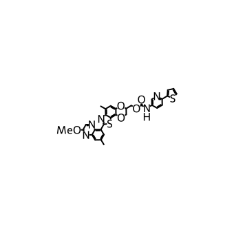 COc1cnc2c(-c3nc4c(C)cc5c(c4s3)OCC(COC(=O)Nc3ccc(-c4cccs4)nc3)O5)cc(C)cc2n1